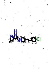 Clc1ccc(/C=C/C2=CCN(Cc3c[nH]c4ncccc34)CC2)cc1